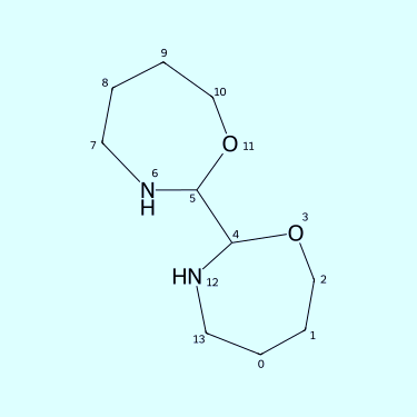 C1CCOC(C2NCCCCO2)NC1